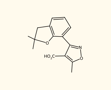 Cc1onc(-c2cccc3c2OC(C)(C)C3)c1C(=O)O